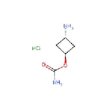 Cl.NC(=O)O[C@H]1C[C@H](N)C1